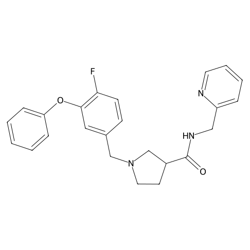 O=C(NCc1ccccn1)C1CCN(Cc2ccc(F)c(Oc3ccccc3)c2)C1